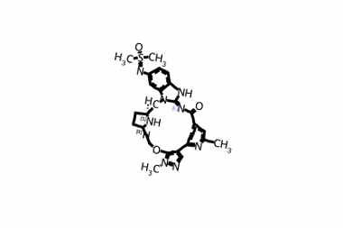 Cc1cc2cc(n1)-c1cnn(C)c1OC[C@H]1CC[C@@H](CN3/C(=N/C2=O)Nc2ccc(N=S(C)(C)=O)cc23)N1